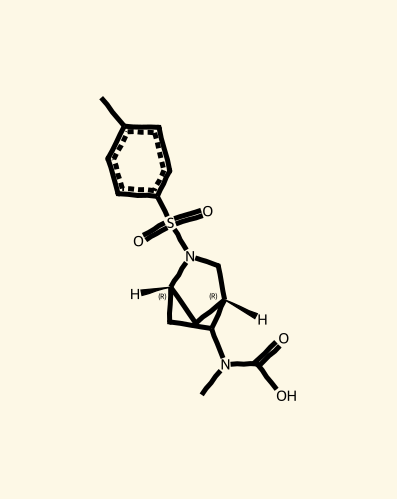 Cc1ccc(S(=O)(=O)N2C[C@H]3C[C@@H]2CC3N(C)C(=O)O)cc1